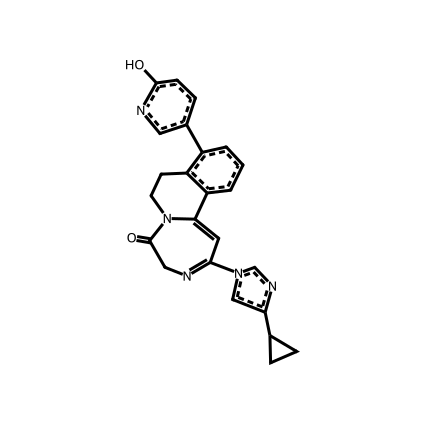 O=C1CN=C(n2cnc(C3CC3)c2)C=C2c3cccc(-c4ccc(O)nc4)c3CCN12